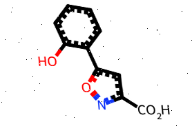 O=C(O)c1cc(-c2ccccc2O)on1